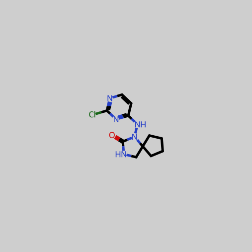 O=C1NCC2(CCCC2)N1Nc1ccnc(Cl)n1